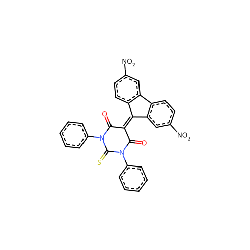 O=C1C(=C2c3cc([N+](=O)[O-])ccc3-c3cc([N+](=O)[O-])ccc32)C(=O)N(c2ccccc2)C(=S)N1c1ccccc1